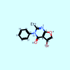 CCc1nc2occ(Br)c2c(=O)n1-c1ccccc1